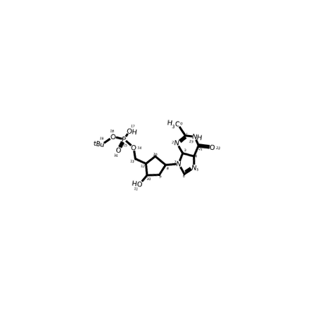 CC1=NC2C(N=CN2C2CC(O)C(COP(=O)(O)OC(C)(C)C)C2)C(=O)N1